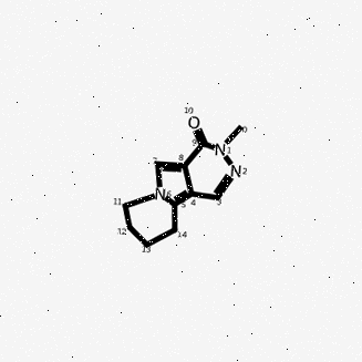 Cn1ncc2c3n(cc2c1=O)CCCC3